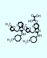 Cc1ccc(Cn2c(NC3CCCN(C)CC3)nc3cccnc32)o1.Cc1ccc(Cn2c(NC3CCCN(C)CC3)nc3cccnc32)o1.O=C(O)C(=O)O